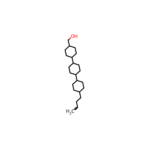 C=CCCC1CCC(C2CCC(C3CCC(CO)CC3)CC2)CC1